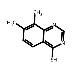 Cc1ccc2c(S)ncnc2c1C